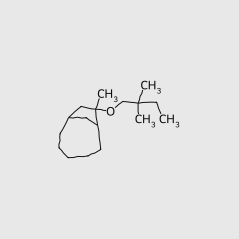 CCC(C)(C)COC1(C)CC2CCCCCC1C2